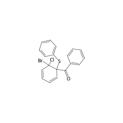 O=C(c1ccccc1)C1(Sc2ccccc2)C=CC=CC1(Cl)Br